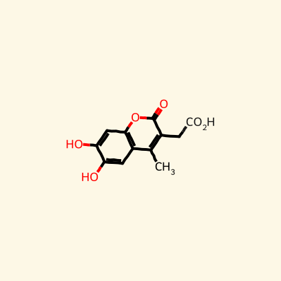 Cc1c(CC(=O)O)c(=O)oc2cc(O)c(O)cc12